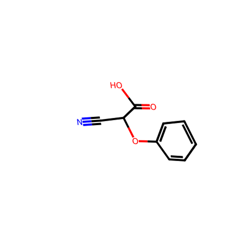 N#CC(Oc1ccccc1)C(=O)O